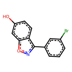 Oc1ccc2c(-c3cccc(Br)c3)noc2c1